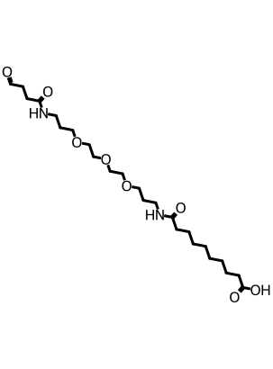 O=CCCC(=O)NCCCOCCOCCOCCCNC(=O)CCCCCCCCC(=O)O